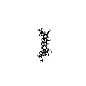 C#Cc1cc2c(C)c(Cc3cccc(NS(=O)(=O)CC(=O)NC)c3)c(=O)oc2cc1OC(=O)N(C)C